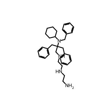 NCCNCCNCC(Cc1ccccc1)(Cc1ccccc1)N(Cc1ccccc1)C1CCCCC1